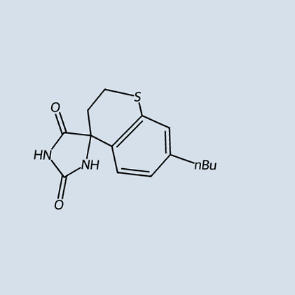 CCCCc1ccc2c(c1)SCCC21NC(=O)NC1=O